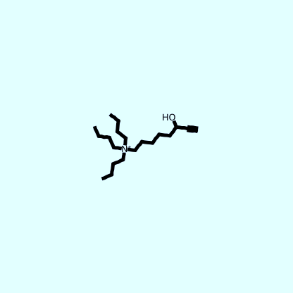 C#CC(O)CCCCC[N+](CCCC)(CCCC)CCCC